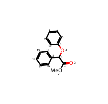 COC(=O)C(Oc1c[c]ccc1)c1ccccc1